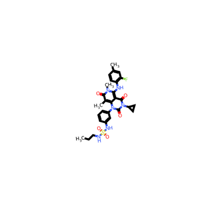 CCCNS(=O)(=O)Nc1cccc(-n2c(=O)n(C3CC3)c(=O)c3c(Nc4ccc(C)cc4F)n(C)c(=O)c(C)c32)c1